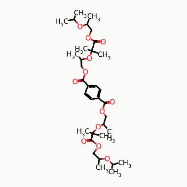 CC(C)OC(C)COC(=O)C(C)(C)OC(C)COC(=O)c1ccc(C(=O)OCC(C)OC(C)(C)C(=O)OCC(C)OC(C)C)cc1